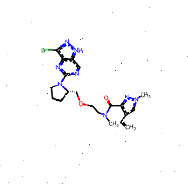 C=Cc1cn(C)nc1C(=O)N(C)CCOC[C@@H]1CCCN1c1ncc2[nH]nc(Br)c2n1